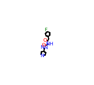 O=C(Cc1ccc(F)cc1)Nc1nc(-c2ccncc2)no1